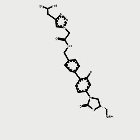 CCC(O)Cc1cn(CC(=O)NCc2ccc(-c3ccc(N4C[C@H](CNC(C)=O)OC4=O)cc3F)cc2)nn1